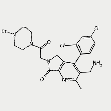 CCN1CCN(C(=O)CN2Cc3c(nc(C)c(CN)c3-c3ccc(Cl)cc3Cl)C2=O)CC1